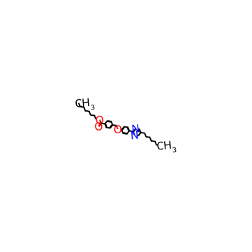 CCCCCCCCOC(=O)c1ccc(COc2ccc(-c3ncc(CCCCCCC)cn3)cc2)cc1